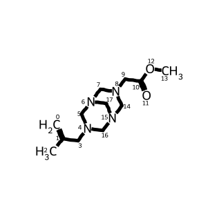 C=C(C)CN1CN2CN(CC(=O)OC)CN(C1)C2